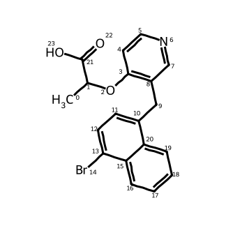 CC(Oc1ccncc1Cc1ccc(Br)c2ccccc12)C(=O)O